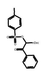 CCCCCCCCCCC(OS(=O)(=O)c1ccc(C)cc1)C(=O)c1ccccc1